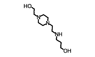 OCCCNCCN1CCN(CCO)CC1